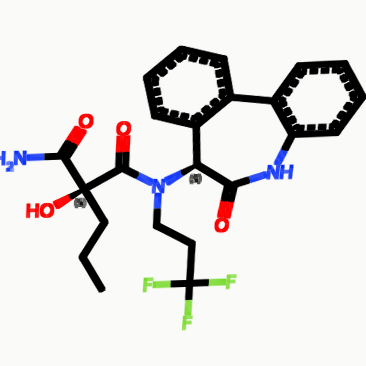 CCC[C@](O)(C(N)=O)C(=O)N(CCC(F)(F)F)[C@@H]1C(=O)Nc2ccccc2-c2ccccc21